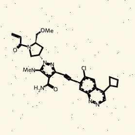 C=CC(=O)N1C[C@@H](n2nc(C#Cc3cc4nncc(C5CCC5)c4cc3Cl)c(C(N)=O)c2NC)C[C@@H]1COC